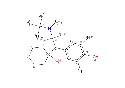 [2H]c1cc(C(C2(O)CCCCC2)C([2H])([2H])N(C)C([2H])([2H])[2H])cc([2H])c1O